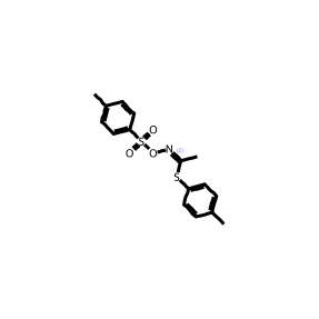 C/C(=N/OS(=O)(=O)c1ccc(C)cc1)Sc1ccc(C)cc1